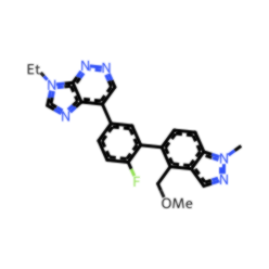 CCn1cnc2c(-c3ccc(F)c(-c4ccc5c(cnn5C)c4COC)c3)cnnc21